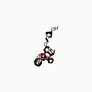 CN(C)C(CC(=O)N1C2CC1CN(c1ccc(-c3cc(OCCN4CC5C(O)C5C4)cn4ncc(C#N)c34)cn1)C2)c1ccccc1